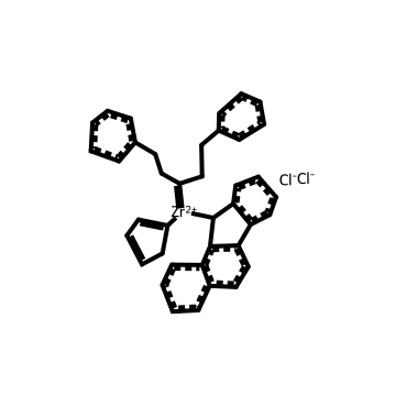 C1=CC[C]([Zr+2](=[C](CCc2ccccc2)CCc2ccccc2)[CH]2c3ccccc3-c3ccc4ccccc4c32)=C1.[Cl-].[Cl-]